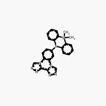 C[Si]1(C)c2ccccc2N(c2ccc3c(c2)n2cnnc2c2nncn32)c2ccccc21